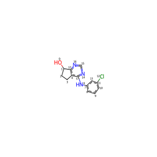 OC1CCc2c(Nc3cccc(Cl)c3)ncnc21